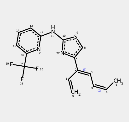 C=C/C(=C\C=C/C)c1csc(Nc2cccc(C(F)(F)F)n2)n1